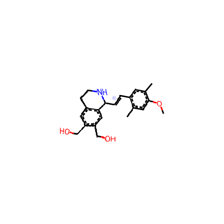 COc1cc(C)c(/C=C/C2NCCc3cc(CO)c(CO)cc32)cc1C